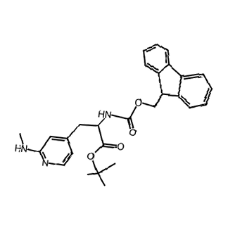 CNc1cc(CC(NC(=O)OCC2c3ccccc3-c3ccccc32)C(=O)OC(C)(C)C)ccn1